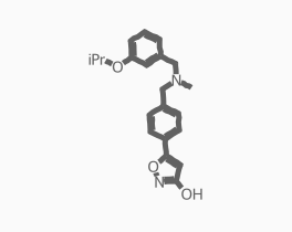 CC(C)Oc1cccc(CN(C)Cc2ccc(-c3cc(O)no3)cc2)c1